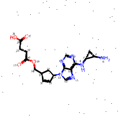 NC1CC1Nc1ncnc2c1ncn2C1C=CC(COC(=O)CCC(=O)O)C1